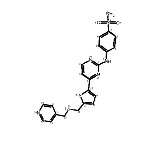 NS(=O)(=O)c1ccc(Nc2nccc(-c3ccc(CNCc4ccncc4)s3)n2)cc1